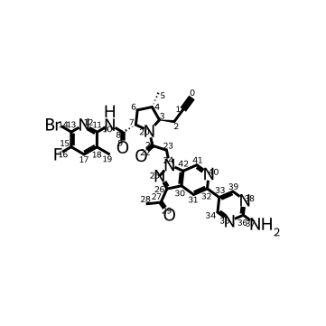 C#CC[C@@H]1[C@@H](C)C[C@@H](C(=O)Nc2nc(Br)c(F)cc2C)N1C(=O)Cn1nc(C(C)=O)c2cc(-c3cnc(N)nc3)ncc21